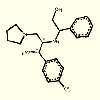 OCC(N[C@H](CN1CCCC1)[C@H](O)c1ccc(C(F)(F)F)cc1)c1ccccc1